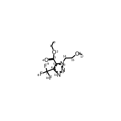 CCOC(=O)c1c(C(F)(F)F)nnn1CCOC